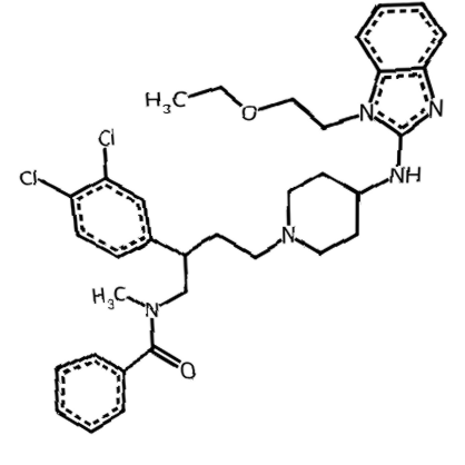 CCOCCn1c(NC2CCN(CCC(CN(C)C(=O)c3ccccc3)c3ccc(Cl)c(Cl)c3)CC2)nc2ccccc21